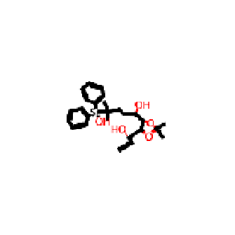 C=C[C@H](O)C1OC(C)(C)OC1[C@H](O)CCC(C)(C)[Si](O)(c1ccccc1)c1ccccc1